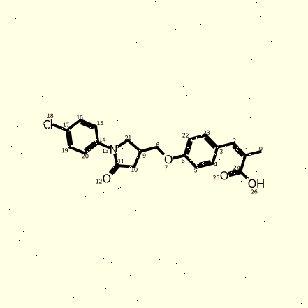 CC(=Cc1ccc(OCC2CC(=O)N(c3ccc(Cl)cc3)C2)cc1)C(=O)O